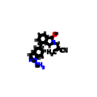 C=C(C#N)CN1Cc2c(cccc2-c2ccc3c(cnn3N)c2)C1=O